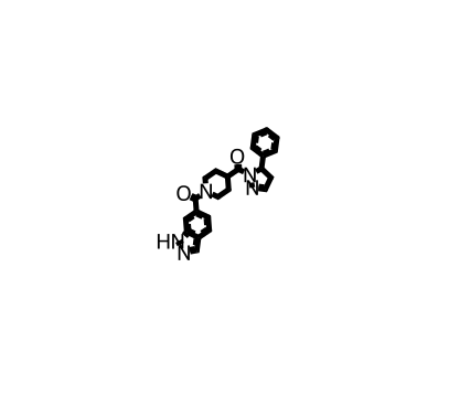 O=C(c1ccc2cn[nH]c2c1)N1CCC(C(=O)N2N=CCC2c2ccccc2)CC1